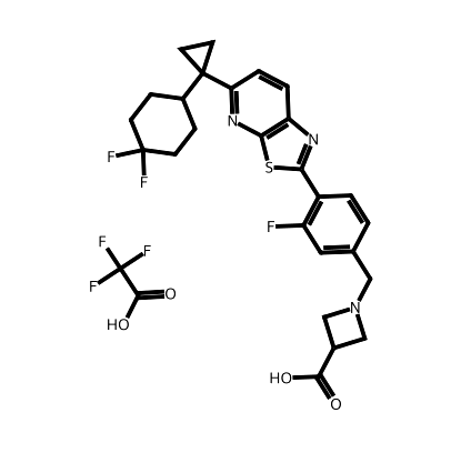 O=C(O)C(F)(F)F.O=C(O)C1CN(Cc2ccc(-c3nc4ccc(C5(C6CCC(F)(F)CC6)CC5)nc4s3)c(F)c2)C1